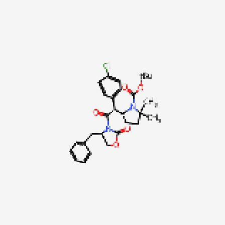 CC(C)(C)OC(=O)N1[C@H]([C@@H](C(=O)N2C(=O)OC[C@H]2Cc2ccccc2)c2ccc(Cl)cc2)CCC1(C)C